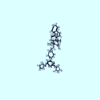 C[C@@H]1C[C@H]2[C@@H]3CCC4=CCC=C[C@]4(C)C3=CC[C@]2(C)[C@@]1(O)CCN1CCN(c2cc(N3CCCC3)nc(N3CCCC3)n2)CC1